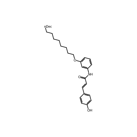 CCCCCCCCCCCCCCCCCCOc1cccc(NC(=O)C=Cc2ccc(O)cc2)c1